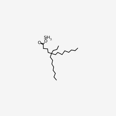 CCCCCCCCC(CCC)(CCCCCCCC)CCCC(=O)O[SiH3]